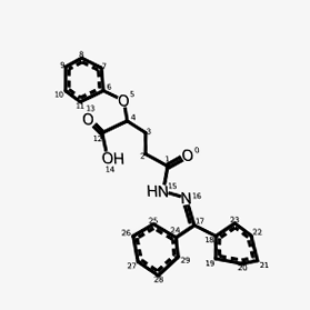 O=C(CCC(Oc1ccccc1)C(=O)O)NN=C(c1ccccc1)c1ccccc1